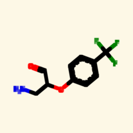 NCC(C=O)Oc1ccc(C(F)(F)F)cc1